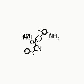 CC(c1ccccc1)c1cncc(C(=O)N2CCC(c3cc(CN)ccc3F)CC2)c1.Cl.Cl